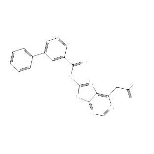 O=C(O)Cc1ncnc2[nH]c(NC(=O)c3cccc(-c4ccccc4)c3)nc12